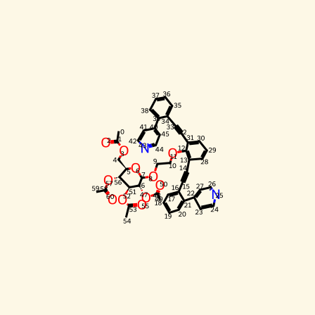 CC(=O)OC[C@H]1OC(OCCOc2c(C#Cc3ccccc3-c3ccncc3)cccc2C#Cc2ccccc2-c2ccncc2)[C@H](OC(C)=O)[C@@H](OC(C)=O)[C@@H]1OC(C)=O